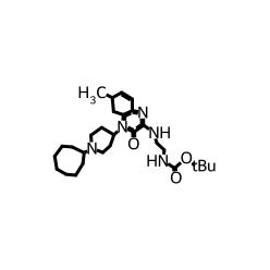 CC1C=Cc2nc(NCCNC(=O)OC(C)(C)C)c(=O)n(C3CCN(C4CCCCCCC4)CC3)c2C1